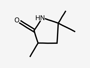 CC1CC(C)(C)NC1=O